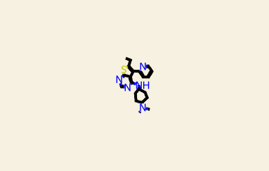 CCc1sc2ncnc(NC3CCC(N(C)C)CC3)c2c1-c1ccccn1